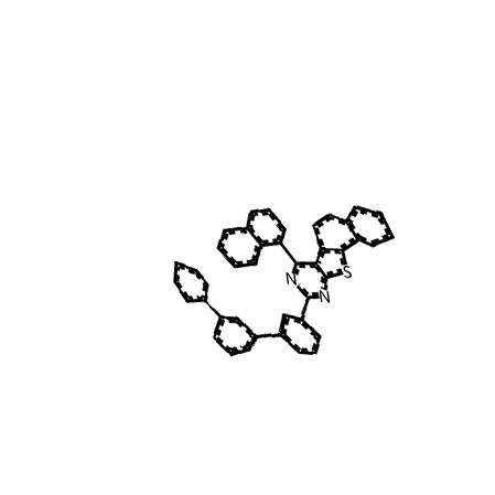 c1ccc(-c2cccc(-c3cccc(-c4nc(-c5cccc6ccccc56)c5c(n4)sc4c6ccccc6ccc45)c3)c2)cc1